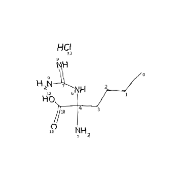 CCCCC(N)(NC(=N)N)C(=O)O.Cl